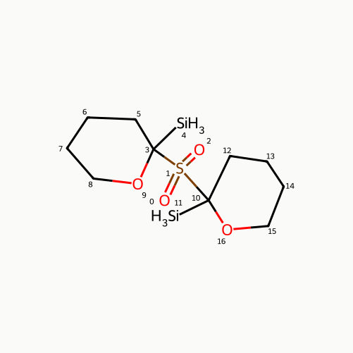 O=S(=O)(C1([SiH3])CCCCO1)C1([SiH3])CCCCO1